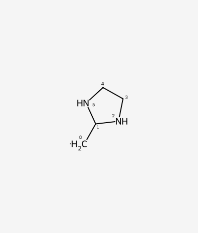 [CH2]C1NCCN1